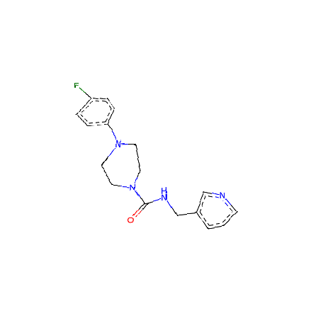 O=C(NCc1cccnc1)N1CCN(c2ccc(F)cc2)CC1